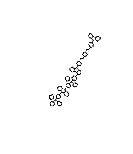 C(=C\c1ccc(-n2c3ccccc3c3ccccc32)cc1)/c1ccc(/C=C/c2ccc(-n3c4ccccc4c4c(-c5ccc([Si](c6ccccc6)(c6ccccc6)c6ccc(-c7c8ccccc8c(-c8ccc([Si](c9ccccc9)(c9ccccc9)c9ccccc9)cc8)c8ccccc78)cc6)cc5)cccc43)cc2)cc1